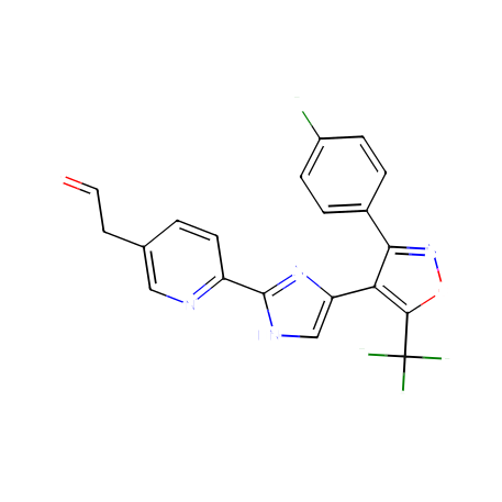 O=CCc1ccc(-c2nc(-c3c(-c4ccc(F)cc4)noc3C(F)(F)F)c[nH]2)nc1